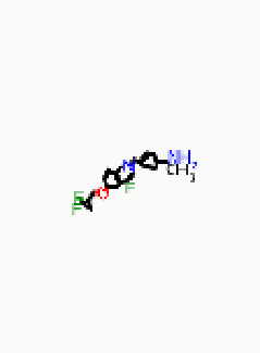 C[C@H](N)c1ccc(CN2Cc3ccc(OCC4CC4(F)F)cc3C(F)C2)cc1